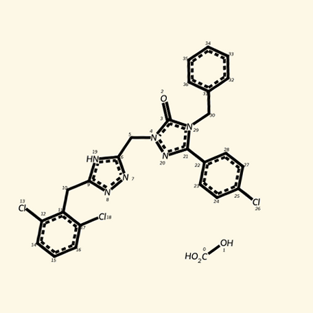 O=C(O)O.O=c1n(Cc2nnc(Cc3c(Cl)cccc3Cl)[nH]2)nc(-c2ccc(Cl)cc2)n1Cc1ccccc1